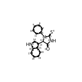 O=C1NC(=S)N(c2ccccc2)C1c1c[nH]c2ccccc12